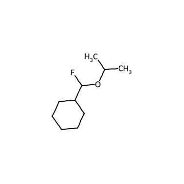 CC(C)OC(F)C1CCCCC1